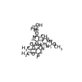 COc1cnc2c(-c3nc4cc(F)c(O[C@@H](C)[C@@H](C)OC(=O)Nc5ccc(OCC(F)(F)CO)nc5)cc4s3)cc(C)cc2n1